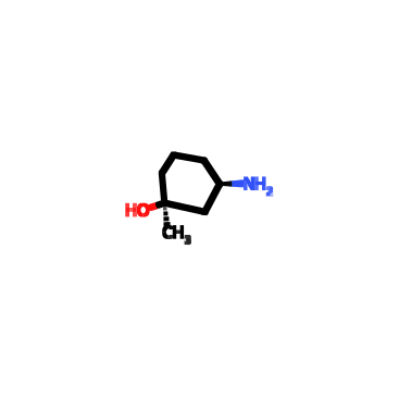 C[C@]1(O)CCC[C@@H](N)C1